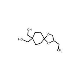 CCC1COC2(CCC(CO)(CO)CC2)O1